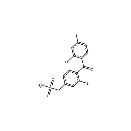 Cc1ccc(C(=O)c2ccc(CS(N)(=O)=O)cc2Br)c(Cl)c1